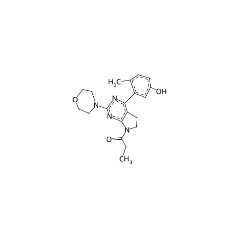 CCC(=O)N1CCc2c(-c3cc(O)ccc3C)nc(N3CCOCC3)nc21